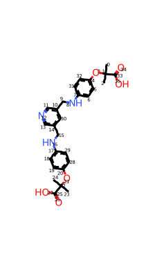 CC(C)(Oc1ccc(NCc2cncc(CNc3ccc(OC(C)(C)C(=O)O)cc3)c2)cc1)C(=O)O